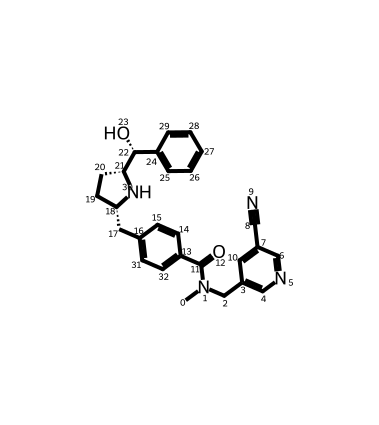 CN(Cc1cncc(C#N)c1)C(=O)c1ccc(C[C@@H]2CC[C@H]([C@H](O)c3ccccc3)N2)cc1